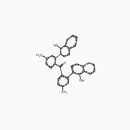 Cc1ccc(C(=O)c2ccc(C)cc2-c2ccc3ccccc3c2O)c(-c2ccc3ccccc3c2O)c1